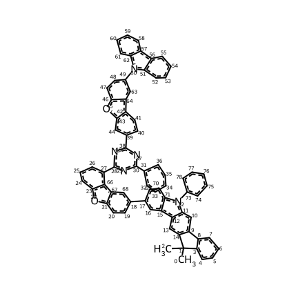 CC1(C)c2ccccc2-c2cc3c(cc21)c1cc(-c2ccc4oc5cccc(-c6nc(-c7ccccc7)nc(-c7ccc8c(c7)oc7ccc(-n9c%10ccccc%10c%10ccccc%109)cc78)n6)c5c4c2)ccc1n3-c1ccccc1